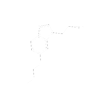 CCSCOc1ccc2[nH]cc(CCNC(C)=O)c2c1